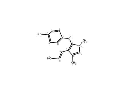 Cc1nn(C)c(Oc2ccc(F)cc2)c1C=NO